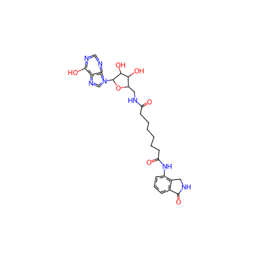 O=C(CCCCCCC(=O)Nc1cccc2c1CNC2=O)NCC1OC(n2cnc3c(O)ncnc32)C(O)C1O